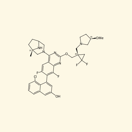 CO[C@@H]1CCN(C[C@@]2(COc3nc(N4CC5CC[C@@](C)(C4)N5)c4cc(F)c(-c5cc(O)cc6cccc(Cl)c56)c(F)c4n3)CC2(F)F)C1